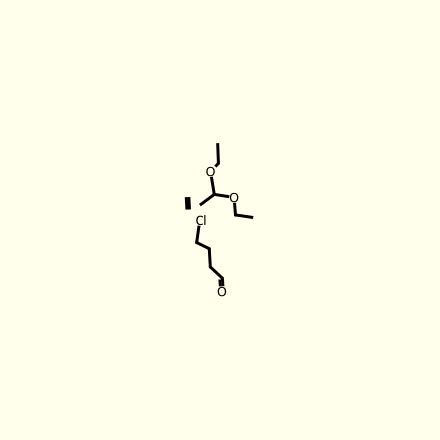 C=C.CCOC(C)OCC.O=CCCCCl